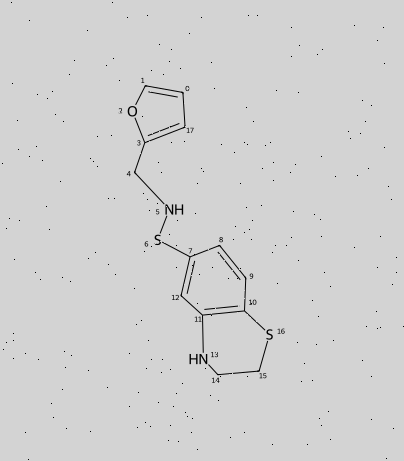 c1coc(CNSc2ccc3c(c2)NCCS3)c1